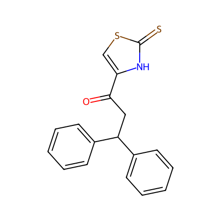 O=C(CC(c1ccccc1)c1ccccc1)c1csc(=S)[nH]1